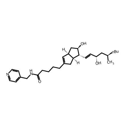 CCCC[C@@H](C)C[C@H](O)/C=C/[C@@H]1[C@H]2CC(CCCCC(=O)NCc3ccncc3)=C[C@H]2C[C@H]1O